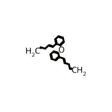 C=CCC=Cc1ccccc1Oc1ccccc1C=CCC=C